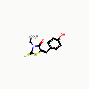 O=C(O)CN1C(=O)/C(=C\c2ccc(O)cc2)SC1=S